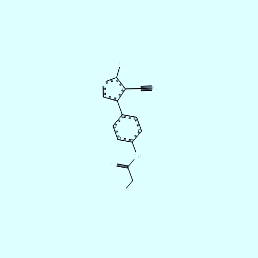 CCC(=O)Nc1ccc(-c2csc(N)c2C#N)cc1